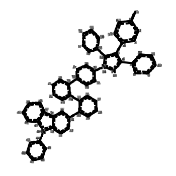 Cc1ccc(-c2c(-c3ccccc3)nn(-c3ccc(-c4ccccc4-c4ccccc4-c4ccc5c(c4)c4ccccc4n5-c4ccccc4)cc3)c2-c2ccccc2)cc1